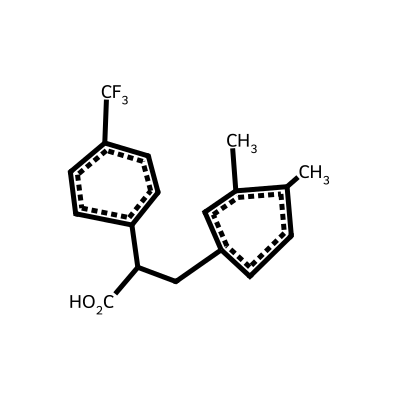 Cc1ccc(CC(C(=O)O)c2ccc(C(F)(F)F)cc2)cc1C